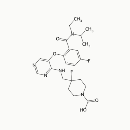 CCN(C(=O)c1cc(F)ccc1Oc1cncnc1NCC1(F)CCN(C(=O)O)CC1)C(C)C